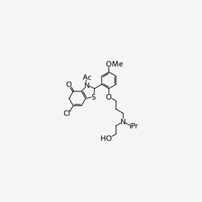 COc1ccc(OCCCN(CCO)C(C)C)c(C2SC3=C(C(=O)CC(Cl)=C3)N2C(C)=O)c1